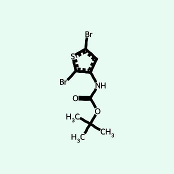 CC(C)(C)OC(=O)Nc1cc(Br)sc1Br